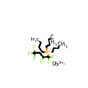 CCCC[P+](CCCC)(CCCC)C(F)(F)C(F)CC(F)(F)F.[Sb+3]